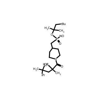 CC(C)C(C)(C)CC(C)(C)C(=O)N1CCC(CP(=O)(N=O)OC(C)(C)CC(C)(C)C)CC1